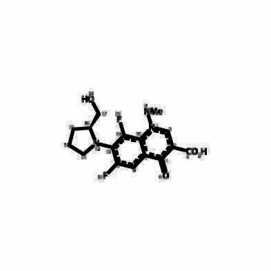 CNn1cc(C(=O)O)c(=O)c2cc(F)c(N3CCC[C@H]3CO)c(F)c21